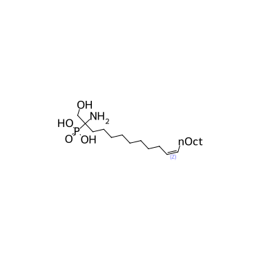 CCCCCCCC/C=C\CCCCCCCCC(N)(CO)P(=O)(O)O